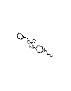 O=C(NC1CCN(CCCl)CC1)OCc1ccccc1